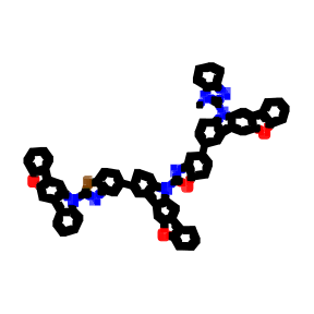 Cn1c(-n2c3ccc(-c4ccc5oc(-n6c7ccc(-c8ccc9sc(-n%10c%11ccccc%11c%11cc%12oc%13ccccc%13c%12cc%11%10)nc9c8)cc7c7cc8oc9ccccc9c8cc76)nc5c4)cc3c3cc4oc5ccccc5c4cc32)nc2ccccc21